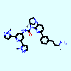 C[C@@H](N)CCc1cccc(-c2ccc3c(n2)N(C(=O)Nc2cc(-c4ccnn4C)nc(-c4ccnn4C)c2)[C@H]2CCN3C2)c1